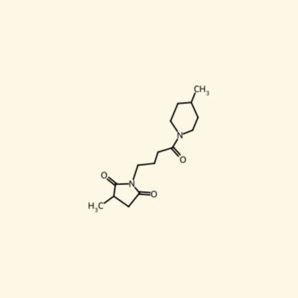 CC1CCN(C(=O)CCCN2C(=O)CC(C)C2=O)CC1